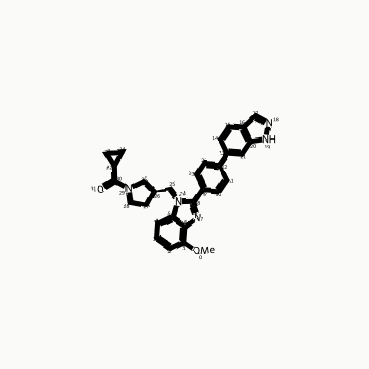 COc1cccc2c1nc(-c1ccc(-c3ccc4cn[nH]c4c3)cc1)n2C[C@H]1CCN(C(=O)C2CC2)C1